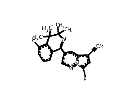 C#Cc1cc(F)n2ncc(C3=NC(C)(C)C(C)(C)c4c(F)cccc43)cc12